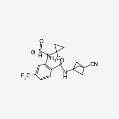 CC1(N(c2cc(C(F)(F)F)ccc2C(=O)NC23CC(C#N)(C2)C3)[SH](=O)=O)CC1